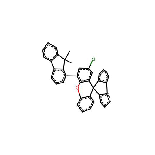 CC1(C)c2ccccc2-c2cccc(-c3cc(Cl)cc4c3Oc3ccccc3C43c4ccccc4-c4ccccc43)c21